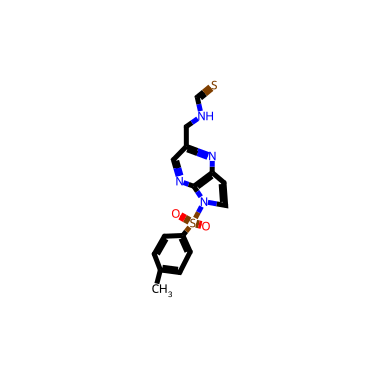 Cc1ccc(S(=O)(=O)n2ccc3nc(CNC=S)cnc32)cc1